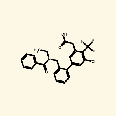 CCN(Cc1ccccc1-c1cc(Cl)c(C(F)(F)F)c(CC(=O)O)c1)C(=O)c1ccccc1